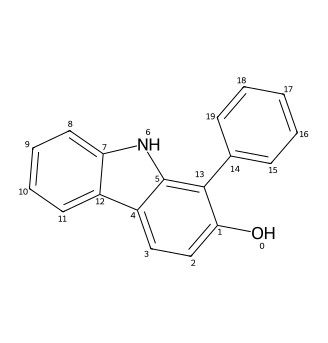 Oc1ccc2c([nH]c3ccccc32)c1-c1ccccc1